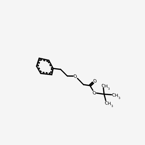 CC(C)(C)OC(=O)COCCc1ccccc1